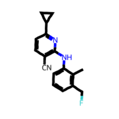 Cc1c(CF)cccc1Nc1nc(C2CC2)ccc1C#N